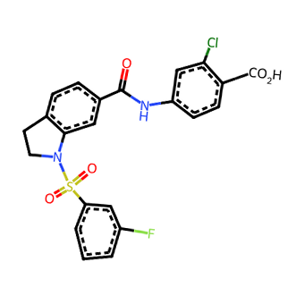 O=C(Nc1ccc(C(=O)O)c(Cl)c1)c1ccc2c(c1)N(S(=O)(=O)c1cccc(F)c1)CC2